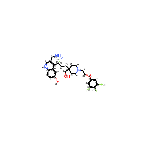 COc1ccc2ncc(CN)c([C@@H](F)CCC3(CO)CCN(CCOc4cc(F)c(F)c(F)c4)CC3)c2c1